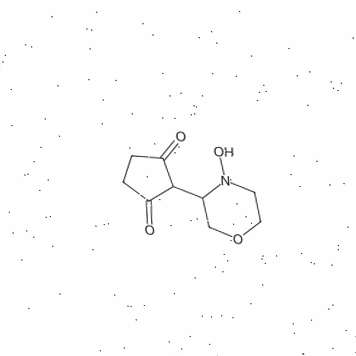 O=C1CCC(=O)C1C1COCCN1O